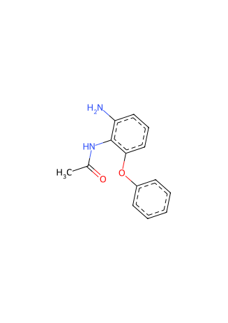 CC(=O)Nc1c(N)cccc1Oc1ccccc1